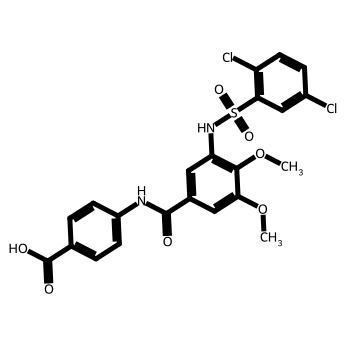 COc1cc(C(=O)Nc2ccc(C(=O)O)cc2)cc(NS(=O)(=O)c2cc(Cl)ccc2Cl)c1OC